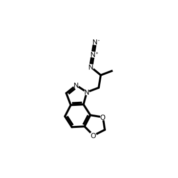 CC(Cn1ncc2ccc3c(c21)OCO3)N=[N+]=[N-]